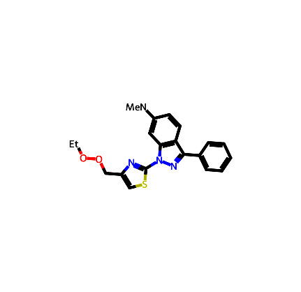 CCOOCc1csc(-n2nc(-c3ccccc3)c3ccc(NC)cc32)n1